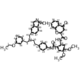 CCOc1cncc(CN(CCc2ccc(NC(=O)c3cc(OC)c(OC)cc3NC(=O)c3cc(=O)c4ccccc4o3)cc2)Cc2ccc3c(cnn3C)c2)c1